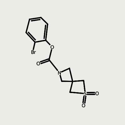 O=C(Oc1ccccc1Br)N1CC2(C1)CS(=O)(=O)C2